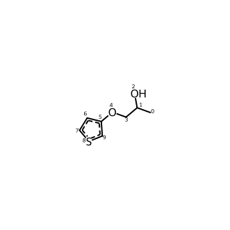 CC(O)COc1ccsc1